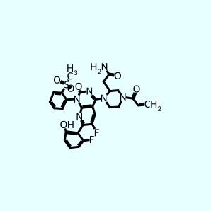 C=CC(=O)N1CCN(c2nc(=O)n(-c3ccccc3S(C)(=O)=O)c3nc(-c4c(O)cccc4F)c(F)cc23)C(CC(N)=O)C1